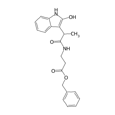 CC(C(=O)NCCC(=O)OCc1ccccc1)c1c(O)[nH]c2ccccc12